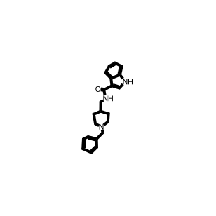 O=C(NCC1CCN(Cc2ccccc2)CC1)c1c[nH]c2ccccc12